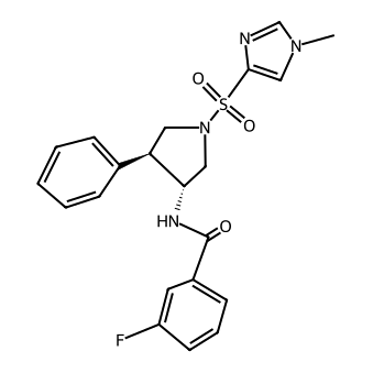 Cn1cnc(S(=O)(=O)N2C[C@H](NC(=O)c3cccc(F)c3)[C@@H](c3ccccc3)C2)c1